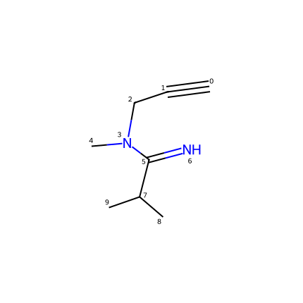 C#CCN(C)C(=N)C(C)C